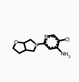 Nc1cc(N2CC3CCOC3C2)ncc1Cl